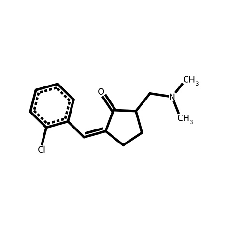 CN(C)CC1CC/C(=C/c2ccccc2Cl)C1=O